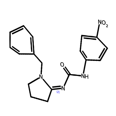 O=C(/N=C1/CCCN1Cc1ccccc1)Nc1ccc([N+](=O)[O-])cc1